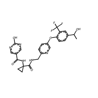 CC(O)c1ccc(Oc2ccc(CNC(=O)C3(NC(=O)c4cnc(O)nc4)CC3)nc2)c(C(F)(F)F)c1